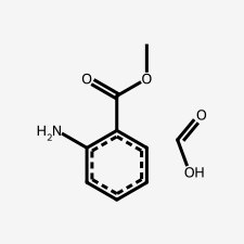 COC(=O)c1ccccc1N.O=CO